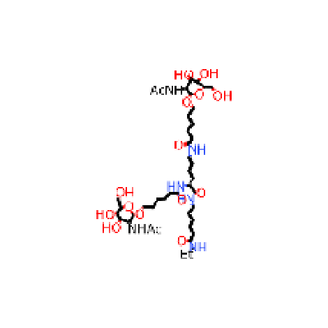 CCNC(=O)CCCCCNC(=O)[C@H](CCCCNC(=O)CCCCCOC1OC(CO)C(O)C(O)C1NC(C)=O)NC(=O)CCCCCOC1OC(CO)C(O)C(O)C1NC(C)=O